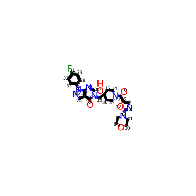 O=C(c1cnc(N2CCOCC2)o1)N1CCC(O)(Cn2cnc3c(cnn3-c3ccc(F)cc3)c2=O)CC1